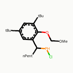 CCCCCC(PCl)c1cc(C(C)(C)C)cc(C(C)(C)C)c1OCOC